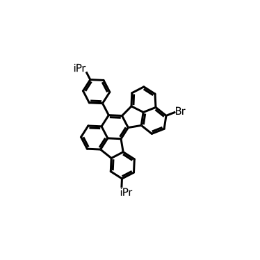 CC(C)c1ccc(-c2c3cccc4c5cc(C(C)C)ccc5c(c34)c3c4ccc(Br)c5cccc(c23)c54)cc1